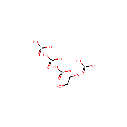 OCCO.[O]=[Ti]([OH])[OH].[O]=[Ti]([OH])[OH].[O]=[Ti]([OH])[OH].[O]=[Ti]([OH])[OH]